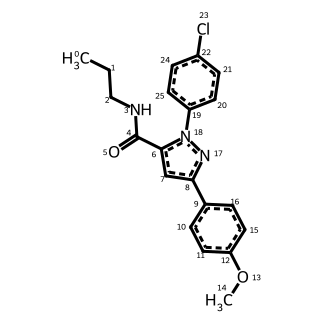 CCCNC(=O)c1cc(-c2ccc(OC)cc2)nn1-c1ccc(Cl)cc1